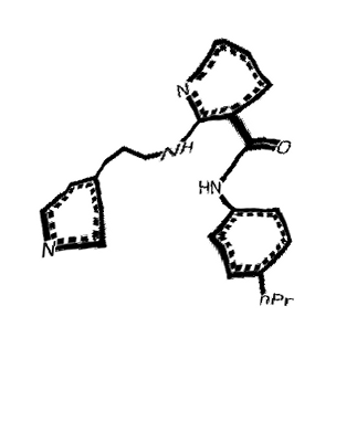 CCCc1ccc(NC(=O)c2cccnc2NCc2ccncc2)cc1